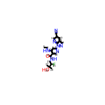 CCNc1cc(-n2ncc3cc(C#N)cnc32)ncc1C(=O)NC[C@@H](F)C(C)(C)O